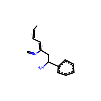 C=N/C(=C\C=C/C)CC(N)c1ccccc1